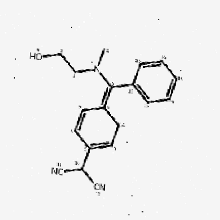 CN(CCO)C(=C1C=CC(C(C#N)C#N)=CC1)c1ccccc1